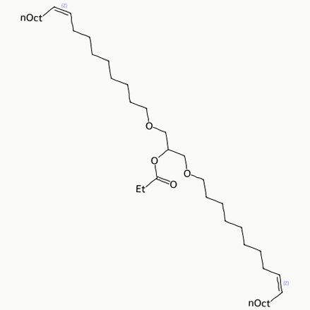 CCCCCCCC/C=C\CCCCCCCCOCC(COCCCCCCCC/C=C\CCCCCCCC)OC(=O)CC